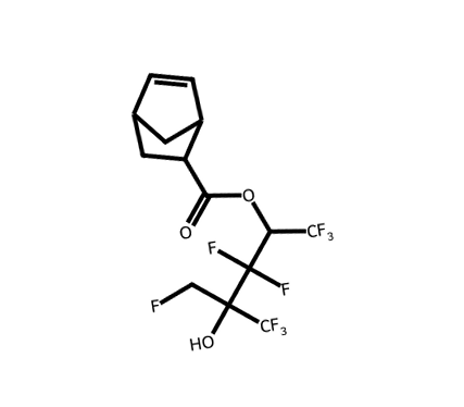 O=C(OC(C(F)(F)F)C(F)(F)C(O)(CF)C(F)(F)F)C1CC2C=CC1C2